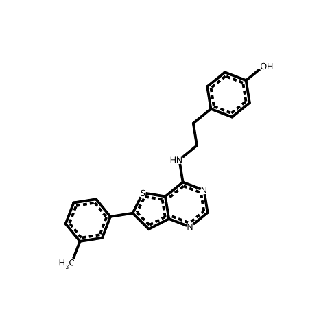 Cc1cccc(-c2cc3ncnc(NCCc4ccc(O)cc4)c3s2)c1